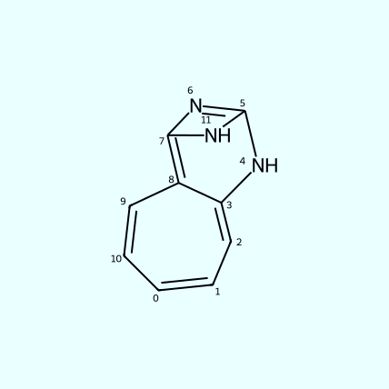 C1=CC=C2NC3=NC(=C2C=C1)N3